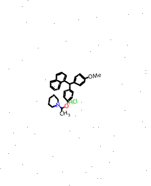 COc1ccc(C(c2ccc(OC(C)N3CCCCC3)cc2)c2cccc3ccccc23)cc1.Cl